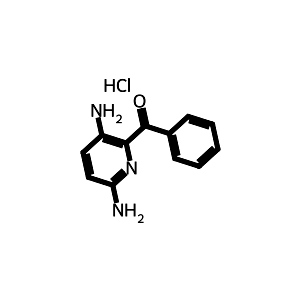 Cl.Nc1ccc(N)c(C(=O)c2ccccc2)n1